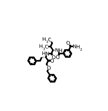 CCC(C)[C@H](NC(=O)c1cccc(C(N)=O)c1)C(=O)N[C@@H](CCc1ccccc1)C(=O)COCc1ccccc1